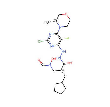 C[C@@H]1COCCN1c1nc(Cl)nc(NNC(=O)[C@H](CC2CCCC2)CN(O)C=O)c1F